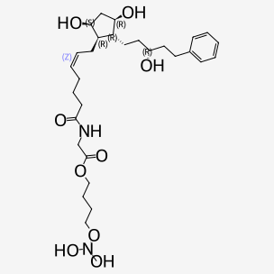 O=C(CCC/C=C\C[C@@H]1[C@@H](CC[C@@H](O)CCc2ccccc2)[C@H](O)C[C@@H]1O)NCC(=O)OCCCCON(O)O